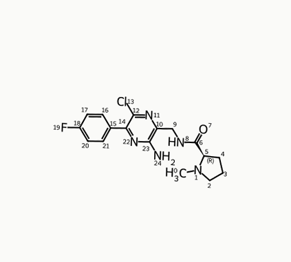 CN1CCC[C@@H]1C(=O)NCc1nc(Cl)c(-c2ccc(F)cc2)nc1N